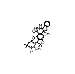 CC1(C)CC(=O)N(C2c3cc4c(cc3OC2(C)C)[C@]2(O)Cc3ccccc3[C@H]2NC4=O)C(=N)N1